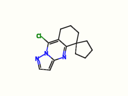 Clc1c2c(nc3ccnn13)C1(CCCC1)CCC2